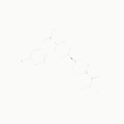 Cc1cc(F)ccc1[C@H]1C[C@H](N2CCN(C(=O)C(C)C)CC2)CCN1C(=O)O